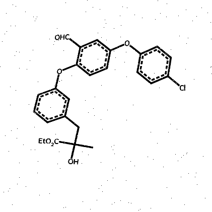 CCOC(=O)C(C)(O)Cc1cccc(Oc2ccc(Oc3ccc(Cl)cc3)cc2C=O)c1